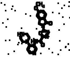 COc1ccc2c(c1)CN(c1nnc(C(=O)Nc3cnccc3N3CCNCC3)o1)C2=O